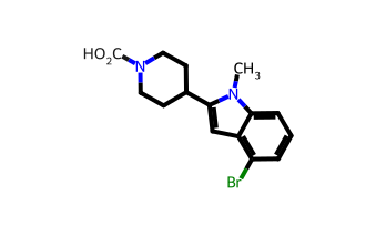 Cn1c(C2CCN(C(=O)O)CC2)cc2c(Br)cccc21